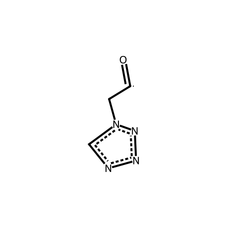 O=[C]Cn1cnnn1